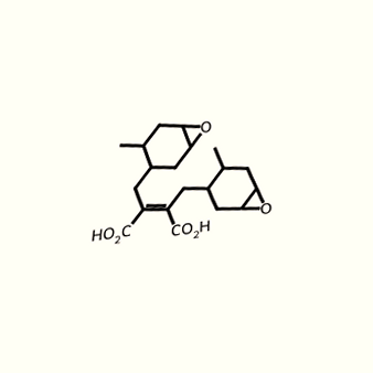 CC1CC2OC2CC1CC(C(=O)O)=C(CC1CC2OC2CC1C)C(=O)O